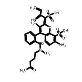 C=CC(=N)/C(=C1/Oc2c(ccc(N)c2S(=O)(=O)O)C(c2ccccc2C(=O)N(C)CCCC(C)=O)=C1C)S(=O)(=O)O